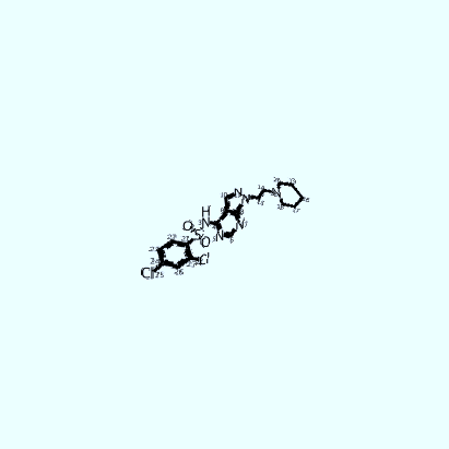 O=S(=O)(Nc1ncnc2c1cnn2CCN1CCCCC1)c1ccc(Cl)cc1Cl